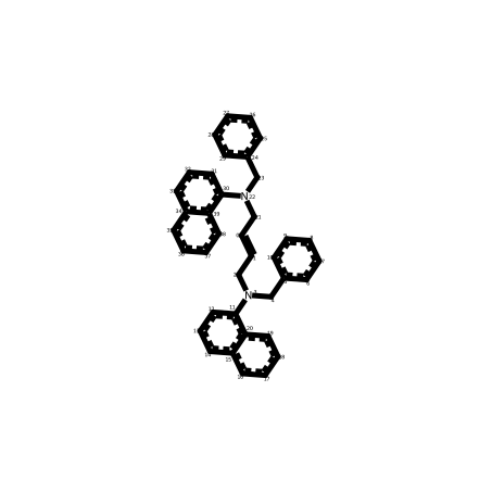 C(=CCN(Cc1ccccc1)c1cccc2ccccc12)CN(Cc1ccccc1)c1cccc2ccccc12